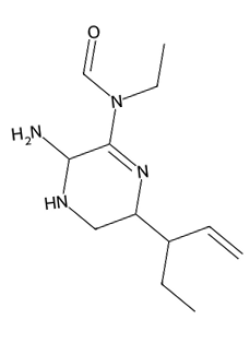 C=CC(CC)C1CNC(N)C(N(C=O)CC)=N1